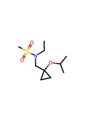 CCN(CC1(OC(C)C)CC1)S(C)(=O)=O